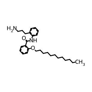 CCCCCCCCCCCCOc1ccccc1C(=O)Nc1ccccc1CCCN